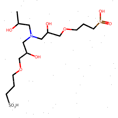 CC(O)CN(CC(O)COCCCS(=O)O)CC(O)COCCCS(=O)(=O)O